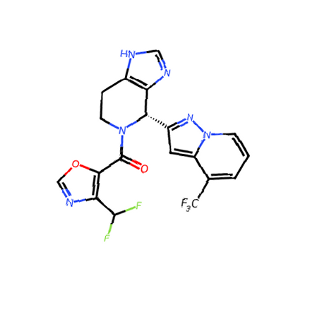 O=C(c1ocnc1C(F)F)N1CCc2[nH]cnc2[C@@H]1c1cc2c(C(F)(F)F)cccn2n1